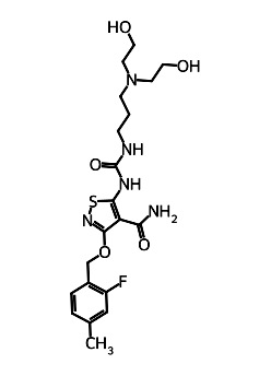 Cc1ccc(COc2nsc(NC(=O)NCCCN(CCO)CCO)c2C(N)=O)c(F)c1